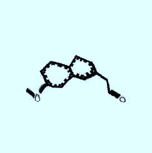 COc1ccc2ccc(CC=O)cc2c1